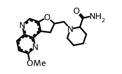 COc1ccc2ncc3c(c2n1)CC(CN1CC[CH]CC1C(N)=O)O3